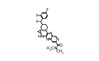 CN(C)C(=O)c1cc2nc(NC3CC3)c(N3CCC([C@@H](F)c4ccc(F)cc4F)CC3)nc2cn1